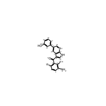 Nc1ccc(F)c(C(=O)c2c[nH]c3ncc(-c4cccc(O)c4)cc23)c1F